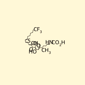 C/C(=C\c1ccc(CCCCCC(F)(F)F)s1)C(=O)c1c(O)cc(C(C)CC/C=C/NC(=O)O)oc1=O